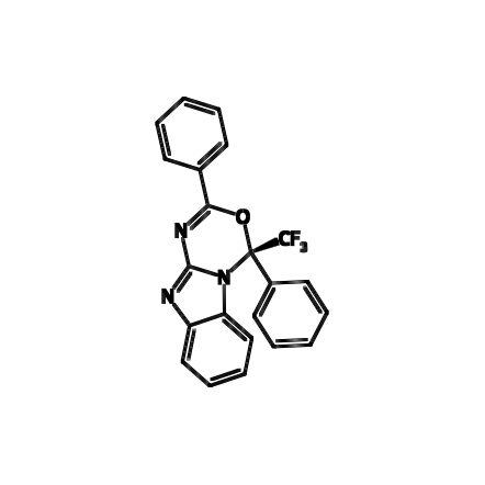 FC(F)(F)[C@]1(c2ccccc2)OC(c2ccccc2)=Nc2nc3ccccc3n21